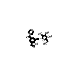 O=C(c1cc(C#C[C@H]2OC(CO)[C@@H](O)C(O)C2O)c2[nH]ncc2c1)N1CCOCC1